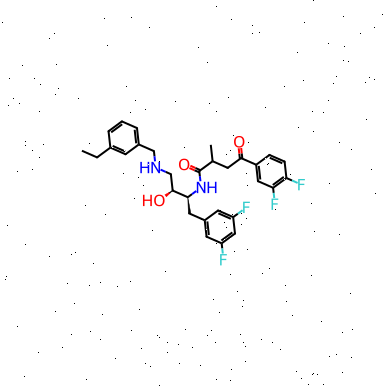 CCc1cccc(CNC[C@H](O)[C@H](Cc2cc(F)cc(F)c2)NC(=O)C(C)CC(=O)c2ccc(F)c(F)c2)c1